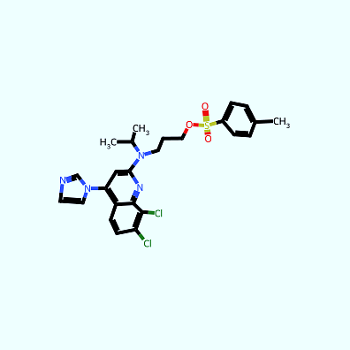 Cc1ccc(S(=O)(=O)OCCCN(c2cc(-n3ccnc3)c3ccc(Cl)c(Cl)c3n2)C(C)C)cc1